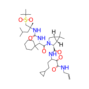 C=CCNC(=O)C(=O)C(CCC1CC1)NC(=O)[C@@H]1[C@@H]2[C@H](CN1C(=O)[C@@H](NC(=O)N[C@](C)(CC(C)C)CS(=O)(=O)C(C)(C)C)C1(C)CCCCC1)C2(C)C